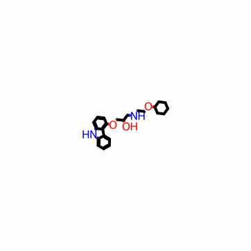 OC(CNCCOC1CCCCC1)COc1cccc2[nH]c3ccccc3c12